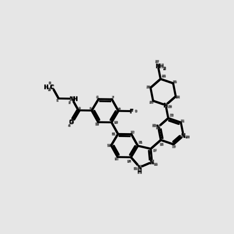 CCNC(=O)c1ccc(F)c(-c2ccc3[nH]nc(-c4cncc(N5CCC(N)CC5)n4)c3c2)c1